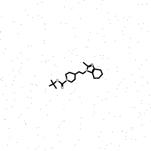 Cc1nc2c(n1CCC1CCN(C(=O)OC(C)(C)C)CC1)CCCC2